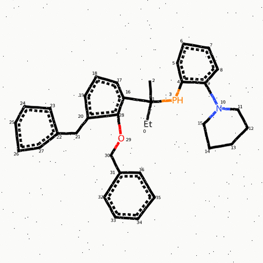 CCC(C)(Pc1ccccc1N1CCCCC1)c1cccc(Cc2ccccc2)c1OCc1ccccc1